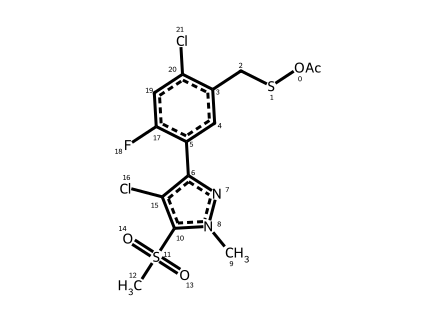 CC(=O)OSCc1cc(-c2nn(C)c(S(C)(=O)=O)c2Cl)c(F)cc1Cl